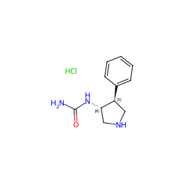 Cl.NC(=O)N[C@H]1CNC[C@@H]1c1ccccc1